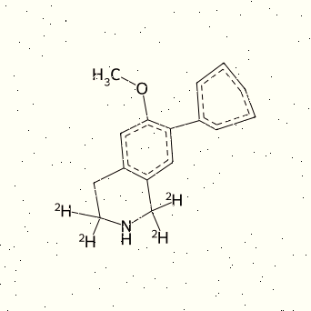 [2H]C1([2H])Cc2cc(OC)c(-c3ccccc3)cc2C([2H])([2H])N1